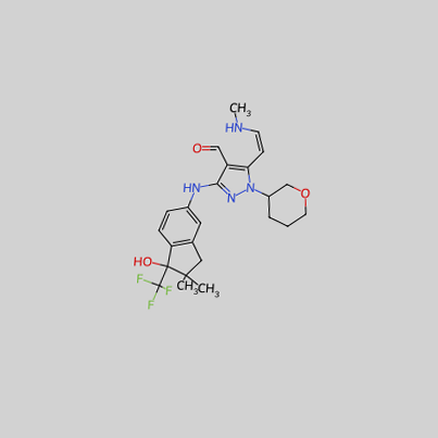 CN/C=C\c1c(C=O)c(Nc2ccc3c(c2)CC(C)(C)C3(O)C(F)(F)F)nn1C1CCCOC1